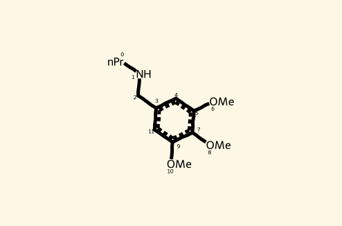 CCCNCc1cc(OC)c(OC)c(OC)c1